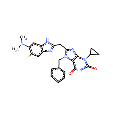 CN(C)c1cc2[nH]c(Cc3nc4c(c(=O)[nH]c(=O)n4C4CC4)n3Cc3ccccc3)nc2cc1F